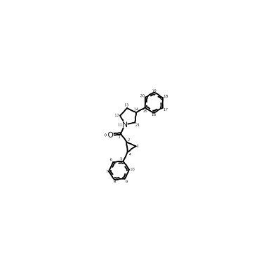 O=C(C1CC1c1ccccc1)N1CCC(c2ccccc2)C1